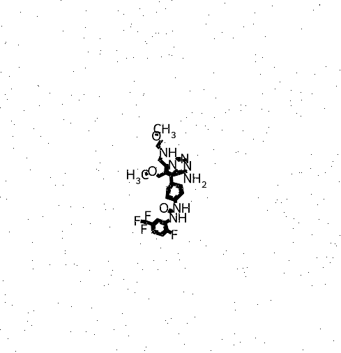 COCCNCc1c(COC)c(-c2ccc(NC(=O)Nc3cc(C(F)(F)F)ccc3F)cc2)c2c(N)nncn12